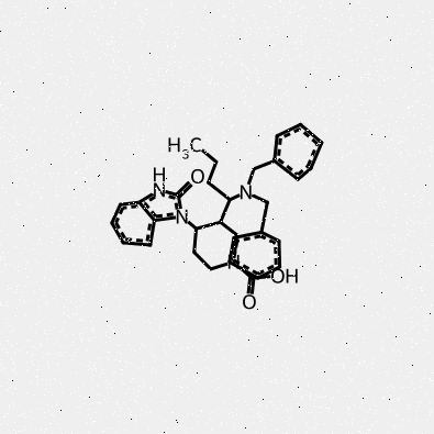 CCCC(C1CN(C(=O)O)CCC1n1c(=O)[nH]c2ccccc21)N(Cc1ccccc1)Cc1ccccc1